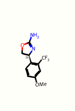 COc1ccc([C@H]2COC(N)=N2)c(C(F)(F)F)c1